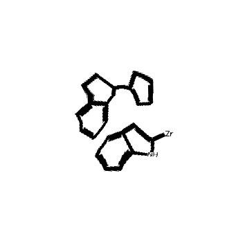 C1=CCC(C2CCc3ccccc32)=C1.[Zr][c]1cc2ccccc2[nH]1